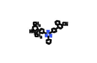 C[C@@H]1C[C@@H]2C[C@H](C)CC(c3ccc(-c4nc(-c5ccccc5)nc(-c5ccc(-c6ccc(C#N)c7ccccc67)cc5)n4)cc3)(C1)C2